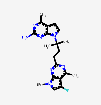 Cc1nc(N)nc2c1ccn2C(C)(C)CCc1nc(C)c2c(F)cn(C(C)(C)C)c2n1